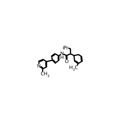 CC1=CC(C(CC(C)C)C(=O)Nc2ccc(-c3ccnc(C)c3)cc2)CC=C1